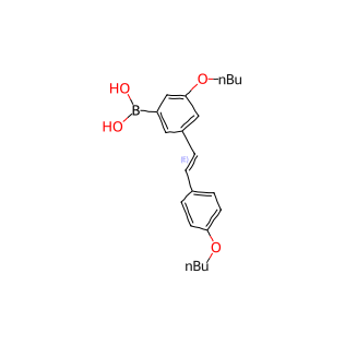 CCCCOc1ccc(/C=C/c2cc(OCCCC)cc(B(O)O)c2)cc1